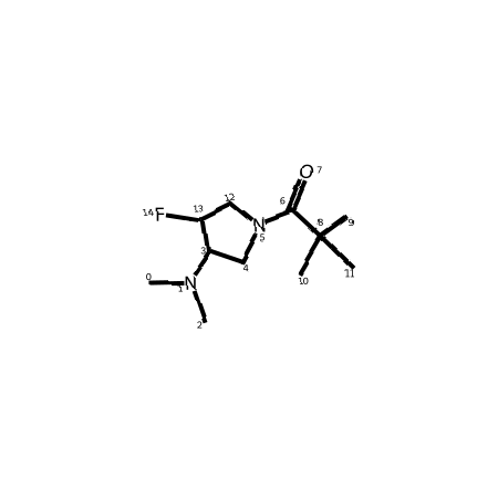 CN(C)C1CN(C(=O)C(C)(C)C)CC1F